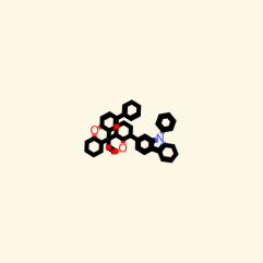 C1=CC(C2=CC3C(C=C2)OC2CCCCC2C32c3ccccc3OC3C(c4ccc5c6c(n(-c7ccccc7)c5c4)CCC=C6)CCCC32)=CCC1